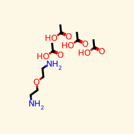 CC(=O)O.CC(=O)O.CC(=O)O.CC(=O)O.NCCOCCN